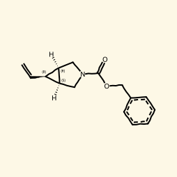 C=C[C@H]1[C@H]2CN(C(=O)OCc3ccccc3)C[C@@H]12